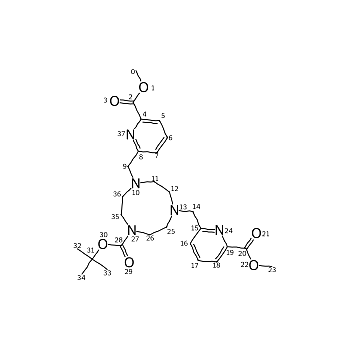 COC(=O)c1cccc(CN2CCN(Cc3cccc(C(=O)OC)n3)CCN(C(=O)OC(C)(C)C)CC2)n1